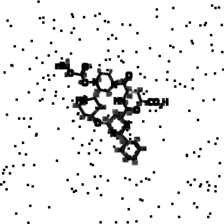 CCCCOC(=O)ON1CCN(C(=O)[C@H](CCC(=O)O)NC(=O)c2cc(OC3CCNCC3)nc(-c3ccccc3)n2)CC1